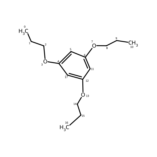 CCCOc1[c]c(OCCC)cc(OCCC)[c]1